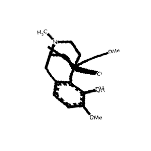 COc1ccc2c(c1O)C13CCN(C)C(C2)C1CCC(OC)C3=O